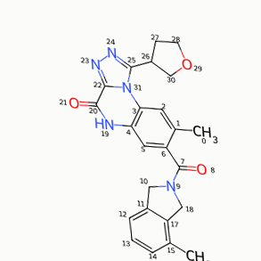 Cc1cc2c(cc1C(=O)N1Cc3cccc(C)c3C1)[nH]c(=O)c1nnc(C3CCOC3)n12